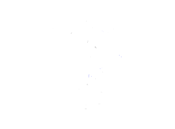 COc1ccc2c(c1)c(C/C(C#N)=C\Nc1ccccc1)cn2C